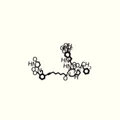 CN(C(=O)[C@@H]1CC[C@@H]2CCN(C(=O)CCCCCC#Cc3cccc4c3CN(C3CCC(=O)NC3=O)C4=O)C[C@H](NC(=O)c3cc4cc(C(F)(F)P(=O)(O)O)ccc4[nH]3)C(=O)N21)c1ccccc1